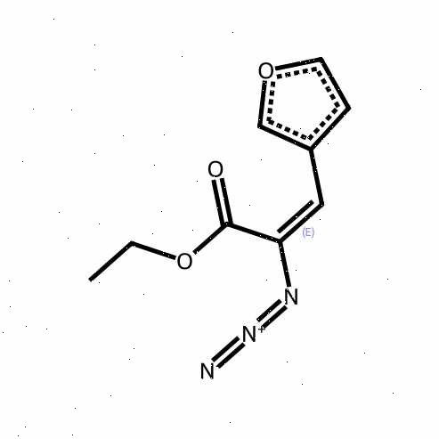 CCOC(=O)/C(=C\c1ccoc1)N=[N+]=[N-]